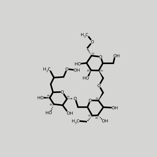 CC[C@@H]1C(CO[C@H]2OC(CC(C)COO)[C@H](O)[C@@H](O)C2O)O[C@@H](COC[C@@H]2C(CO)O[C@@H](COC)C(O)[C@@H]2O)C(O)[C@@H]1O